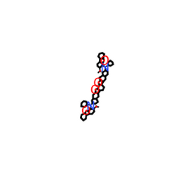 CC(C)c1ccc2c(oc3ccccc32)c1N(c1ccccc1)c1ccc2cc3c(cc2c1)oc1c3ccc2c3cc4ccc(N(c5ccccc5)c5c(C(C)C)ccc6c5oc5ccccc56)cc4cc3oc21